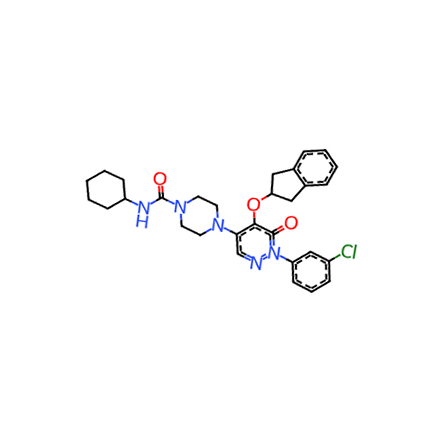 O=C(NC1CCCCC1)N1CCN(c2cnn(-c3cccc(Cl)c3)c(=O)c2OC2Cc3ccccc3C2)CC1